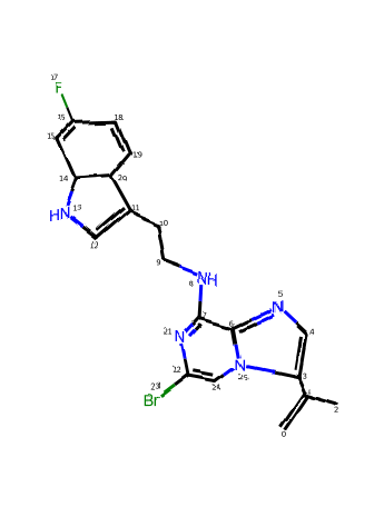 C=C(C)c1cnc2c(NCCC3=CNC4C=C(F)C=CC34)nc(Br)cn12